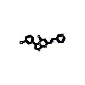 O=c1cc(/C=C/c2cccnc2)nc2scc(-c3cccc(Cl)c3)n12